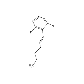 CCCCN=Cc1c(F)cccc1F